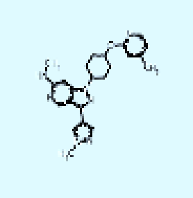 CNc1cc2c(cn1)c(-c1cnn(C)c1)nn2C1CCC(Oc2cc(C)ccn2)CC1